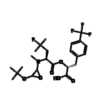 CN(C1OC1OC(C)(C)C)[C@@H](CC(C)(C)F)C(=O)O[C@H](Cc1ccc(C(F)(F)F)cc1)C(=O)O